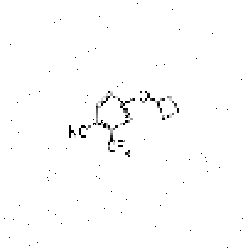 N#Cc1ccc(OC2CCC2)cc1C(F)(F)F